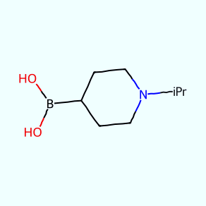 CC(C)N1CCC(B(O)O)CC1